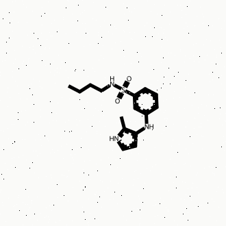 CCCCNS(=O)(=O)c1cccc(Nc2cc[nH]c2C)c1